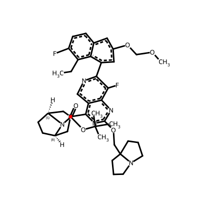 CCc1c(F)ccc2cc(OCOC)cc(-c3ncc4c(N5C[C@H]6CC[C@@H](C5)N6C(=O)OC(C)(C)C)nc(OCC56CCCN5CCC6)nc4c3F)c12